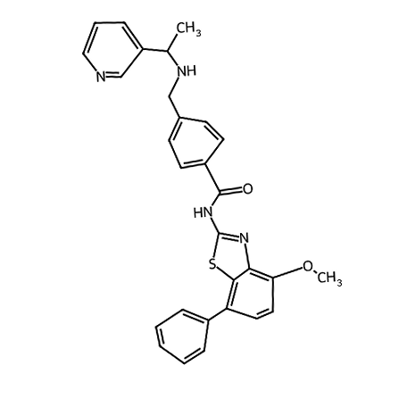 COc1ccc(-c2ccccc2)c2sc(NC(=O)c3ccc(CNC(C)c4cccnc4)cc3)nc12